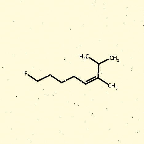 C/C(=C/CCCCF)C(C)C